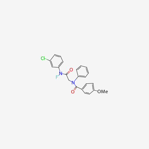 COc1ccc(C(=O)N(CC(=O)N(F)c2cccc(Cl)c2)c2ccccc2)cc1